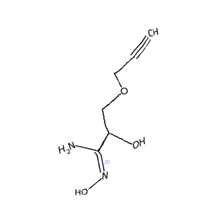 C#CCOCC(O)/C(N)=N/O